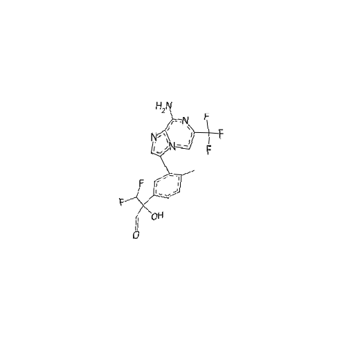 Cc1ccc(C(O)(C=O)C(F)F)cc1-c1cnc2c(N)nc(C(F)(F)F)cn12